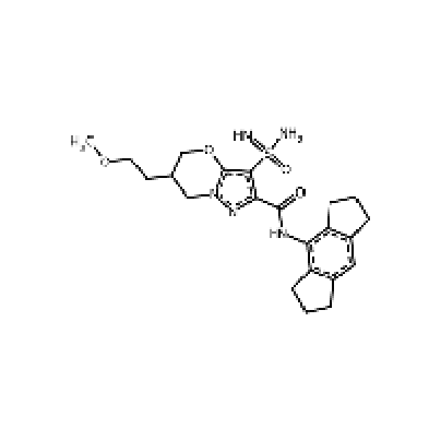 COCCC1COc2c(S(=N)(N)=O)c(C(=O)Nc3c4c(cc5c3CCC5)CCC4)nn2C1